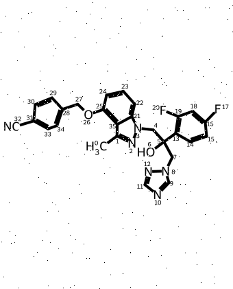 Cc1nn(CC(O)(Cn2cncn2)c2ccc(F)cc2F)c2cccc(OCc3ccc(C#N)cc3)c12